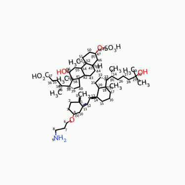 C=C1CC[C@H](OCCCN)C/C1=C/C=C1CCC[C@@]2(C)C1CC[C@@H]2[C@H](C)CCCC(C)(C)O.C[C@H](CCC(=O)O)[C@H]1CCC2C3CC[C@@H]4C[C@H](OS(=O)(=O)O)CC[C@]4(C)C3C[C@H](O)[C@@]21C